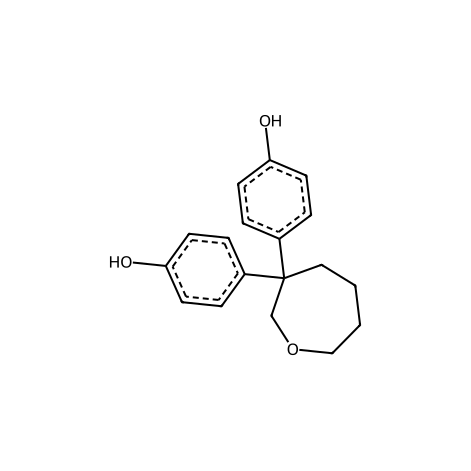 Oc1ccc(C2(c3ccc(O)cc3)CCCCOC2)cc1